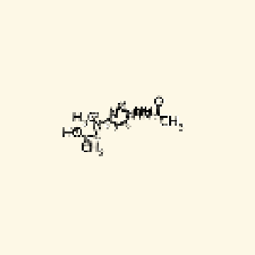 CC(=O)NNc1ccc(N(C)CC(C)O)nn1